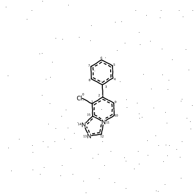 Clc1c(-c2ccccc2)ccn2cnnc12